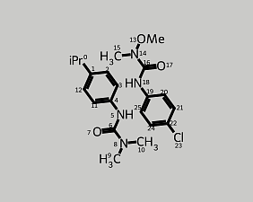 CC(C)c1ccc(NC(=O)N(C)C)cc1.CON(C)C(=O)Nc1ccc(Cl)cc1